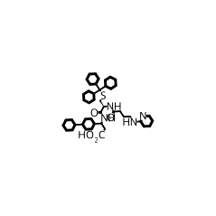 O=C(O)CC(NC(=O)[C@@H](CSC(c1ccccc1)(c1ccccc1)c1ccccc1)NC(=O)CCCNc1ccccn1)c1ccc(-c2ccccc2)cc1